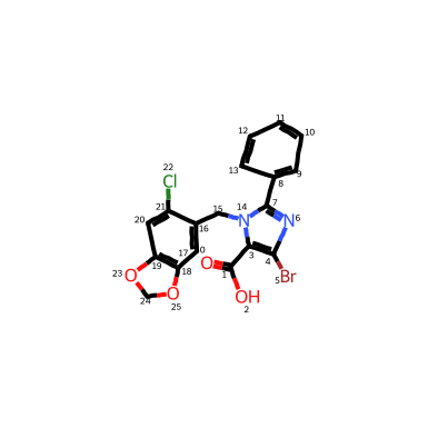 O=C(O)c1c(Br)nc(-c2ccccc2)n1Cc1cc2c(cc1Cl)OCO2